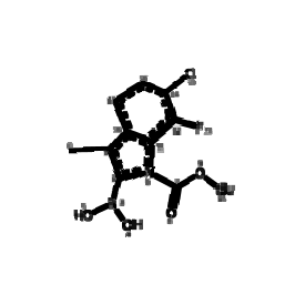 Cc1c(B(O)O)n(C(=O)OC(C)(C)C)c2c(F)c(Cl)ccc12